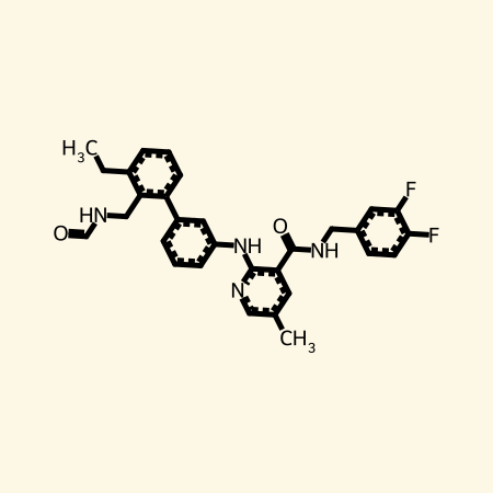 CCc1cccc(-c2cccc(Nc3ncc(C)cc3C(=O)NCc3ccc(F)c(F)c3)c2)c1CNC=O